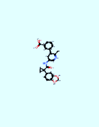 Cc1ncc(NC(=O)C2(c3ccc4c(c3)OCO4)CC2)cc1-c1cccc(C(=O)O)c1